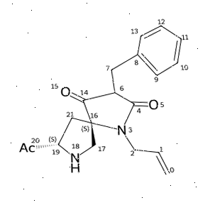 C=CCN1C(=O)C(Cc2ccccc2)C(=O)[C@]12CN[C@H](C(C)=O)C2